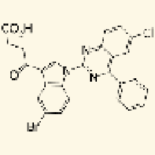 O=C(O)CCC(=O)c1cn(-c2nc(-c3ccccc3)c3cc(Cl)ccc3n2)c2ccc(Br)cc12